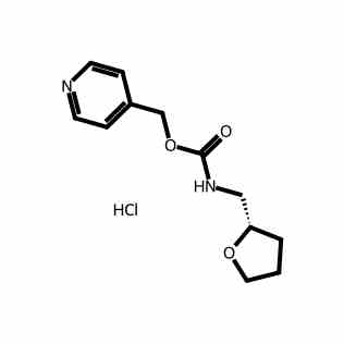 Cl.O=C(NC[C@@H]1CCCO1)OCc1ccncc1